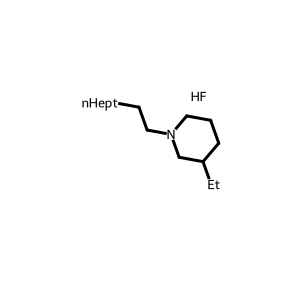 CCCCCCCCCN1CCCC(CC)C1.F